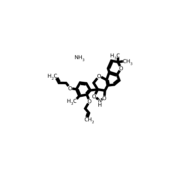 C=CCOc1ccc(C23COc4c(ccc5c4C=CC(C)(C)O5)C2ONO3)c(OCC=C)c1C.N